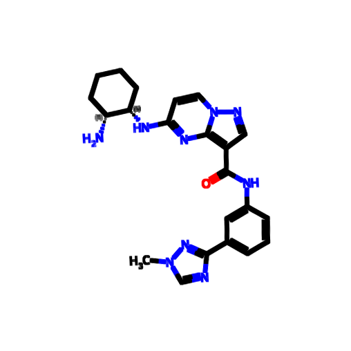 Cn1cnc(-c2cccc(NC(=O)c3cnn4ccc(N[C@H]5CCCC[C@H]5N)nc34)c2)n1